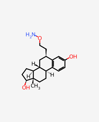 C[C@]12CC[C@@H]3c4ccc(O)cc4[C@H](CCON)C[C@H]3[C@@H]1CC[C@@H]2O